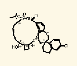 CC(C)[C@H]1CC=CC[C@@H](O)[C@@H]2CC[C@H]2CN2C[C@@]3(CCCc4cc(Cl)ccc43)COc3ccc(cc32)C(=O)NS1(=O)=O